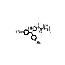 CN(C)C(=O)N[C@H]1CN[C@@H](C(c2ccc(C(C)(C)C)cc2)c2ccc(C(C)(C)C)cc2)C1